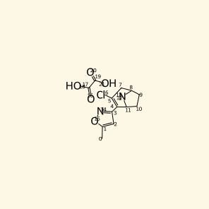 Cc1cc(C2=C(Cl)CC3CCC2N3C)no1.O=C(O)C(=O)O